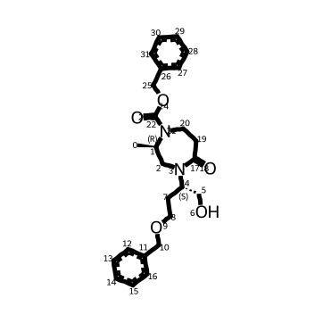 C[C@@H]1CN([C@H](CO)CCOCc2ccccc2)C(=O)CCN1C(=O)OCc1ccccc1